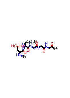 CC(C)NC(CC(O)O)C(=O)NC(CC(=O)O)C(=O)NCC(=O)NCC(=O)NCC(=O)C(C)C